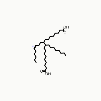 CCCCC/C=C\CCC(CCCCCCCC(=O)O)C(CCCCCCCC)CCCCCCCCC(=O)O